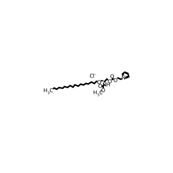 CCCCCCCCCCCCCCCCCCOC[C@@H](COC(=O)OCC[n+]1ccccc1)NC(=O)OC.[Cl-]